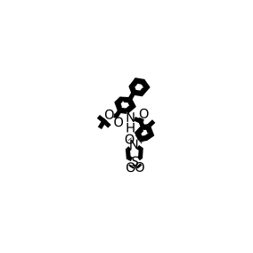 Cc1ccc([N+]2([O-])CCS(=O)(=O)CC2)cc1C(=O)Nc1cc(-c2ccccc2)ccc1C(=O)OC(C)(C)C